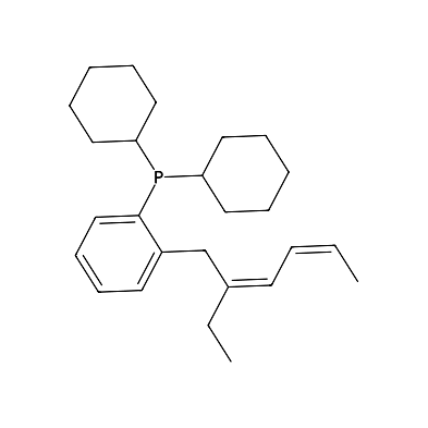 C/C=C\C=C(\CC)Cc1ccccc1P(C1CCCCC1)C1CCCCC1